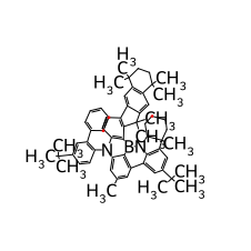 Cc1cc2c3c(c1)N(c1ccc(C(C)(C)C)cc1-c1ccccc1)c1ccc4c(c1B3N1c3c-2cc(C(C)(C)C)cc3C2(C)CCCCC12)C(C)(C)c1cc2c(cc1-4)C(C)(C)CCC2(C)C